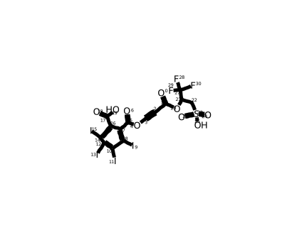 O=C(C#COC(=O)c1c(I)c(I)c(I)c(I)c1C(=O)O)OC(CS(=O)(=O)O)C(F)(F)F